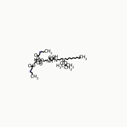 CC/C=C\CC(=O)OCC(COC(=O)C/C=C\CC)OP(=O)(O)OCCNC(=O)CC(=O)NCCCN(CCCCCCCCC)C(=O)OC(C)(C)C